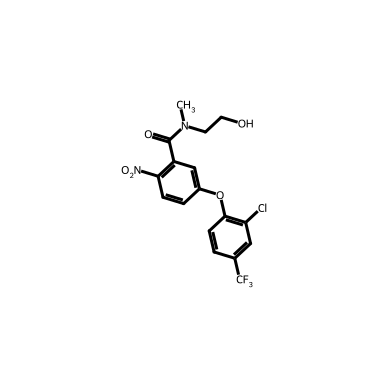 CN(CCO)C(=O)c1cc(Oc2ccc(C(F)(F)F)cc2Cl)ccc1[N+](=O)[O-]